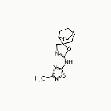 Cc1nsc(NC2=NC[C@@]3(CN4CCC3CC4)O2)n1